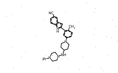 Cc1ccc(N2CCC(NN3CCN(C(C)C)CC3)CC2)cc1-c1cc2cc(C#N)ccc2[nH]1